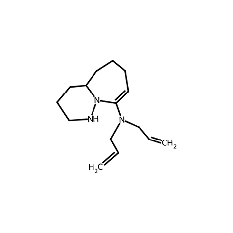 C=CCN(CC=C)C1=CCCCC2CCCNN12